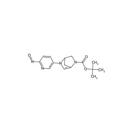 CC(C)(C)OC(=O)N1CC2CC1=CN2c1ccc(N=O)nc1